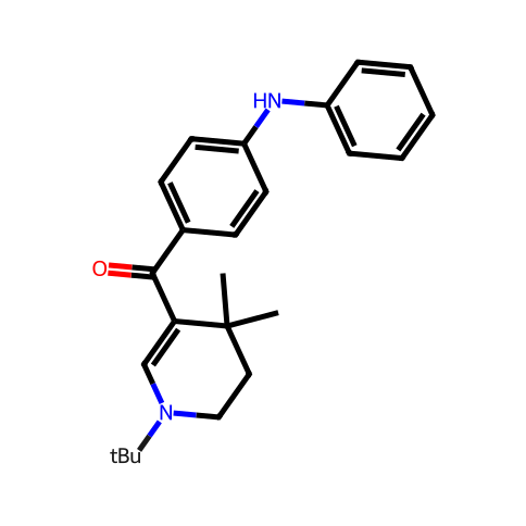 CC1(C)CCN(C(C)(C)C)C=C1C(=O)c1ccc(Nc2ccccc2)cc1